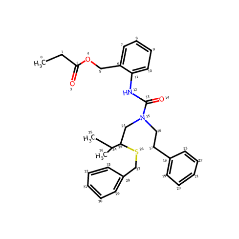 CCC(=O)OCc1ccccc1NC(=O)N(CCc1ccccc1)CC(SCc1ccccc1)C(C)C